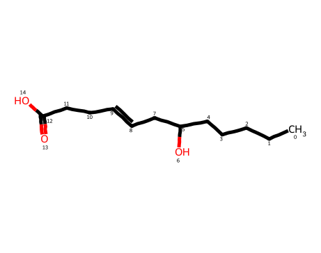 CCCCCC(O)CC=CCCC(=O)O